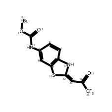 CC(C)(C)OC(=O)Nc1ccc2c(c1)S/C(=C/C(=O)C(F)(F)F)N2